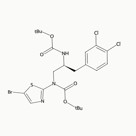 CC(C)(C)OC(=O)N[C@@H](Cc1ccc(Cl)c(Cl)c1)CN(C(=O)OC(C)(C)C)c1ncc(Br)s1